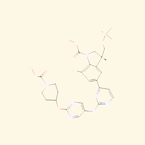 CC(C)(C)OC(=O)N1CCC(Oc2ncc(Nc3nccc(-c4cc(C#N)c5c(c4)[C@@](C)(CO[Si](C)(C)C(C)(C)C)CN5C(=O)OC(C)(C)C)n3)cn2)CC1